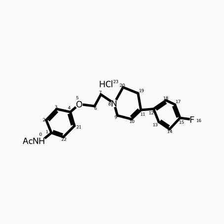 CC(=O)Nc1ccc(OCCN2CC=C(c3ccc(F)cc3)CC2)cc1.Cl